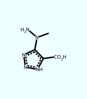 CN(N)c1nn[nH]c1C(=O)O